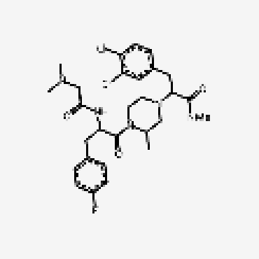 CNC(=O)C(Cc1ccc(Cl)c(Cl)c1)N1CCN(C(=O)C(Cc2ccc(F)cc2)NC(=O)CN(C)C)C(C)C1